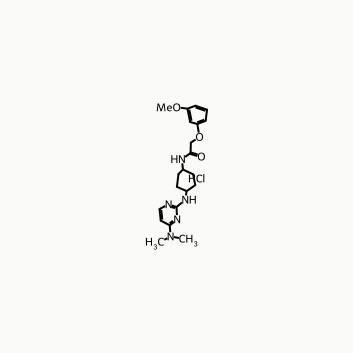 COc1cccc(OCC(=O)NC2CCC(Nc3nccc(N(C)C)n3)CC2)c1.Cl